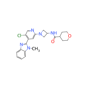 Cn1c(-c2cc(N3CC(NC(=O)C4CCOCC4)C3)ncc2Cl)nc2ccccc21